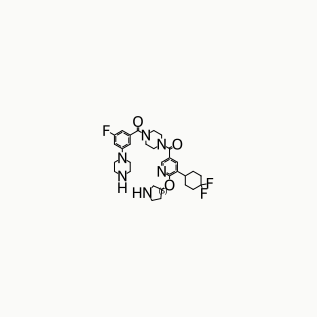 O=C(c1cc(F)cc(N2CCNCC2)c1)N1CCN(C(=O)c2cnc(O[C@H]3CCNC3)c(C3CCC(F)(F)CC3)c2)CC1